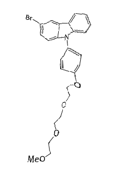 COCCOCCOCCOc1ccc(-n2c3ccccc3c3cc(Br)ccc32)cc1